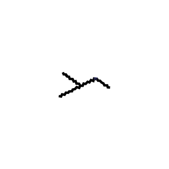 CCC=CCCCCCCCC(CCCCCCC/C=C\CCCCCCCC)CCCCCCCCCCCC